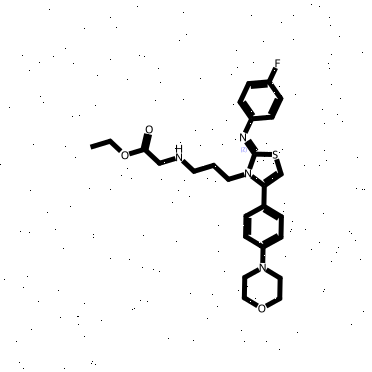 CCOC(=O)CNCCCn1c(-c2ccc(N3CCOCC3)cc2)cs/c1=N\c1ccc(F)cc1